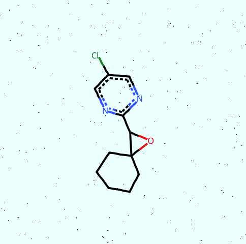 Clc1cnc(C2OC23CCCCC3)nc1